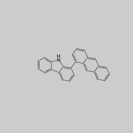 c1ccc2cc3c(-c4cccc5c4[nH]c4ccccc45)cccc3cc2c1